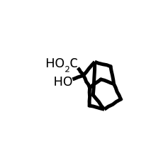 O=C(O)C1(O)C2CC3CC(C2)CC1C3